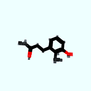 COC(=O)CCc1cccc(O)c1OC